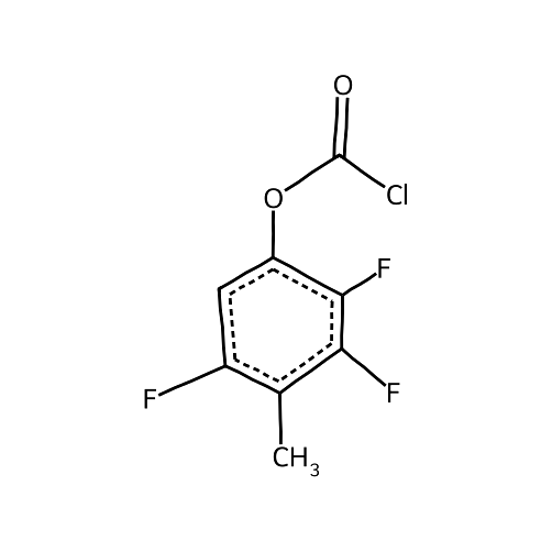 Cc1c(F)cc(OC(=O)Cl)c(F)c1F